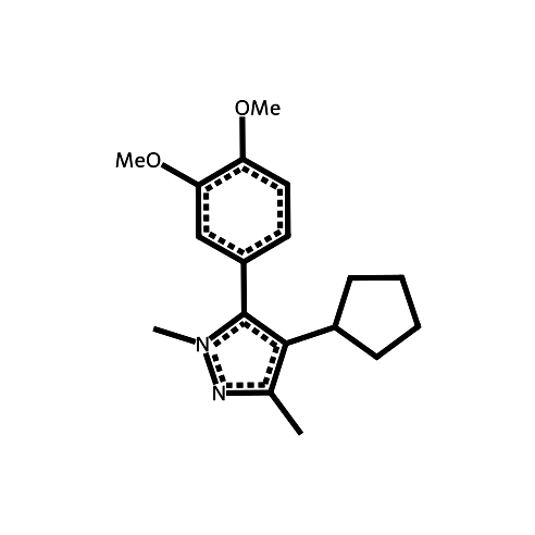 COc1ccc(-c2c(C3CCCC3)c(C)nn2C)cc1OC